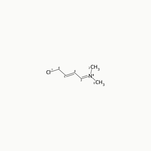 C[N+](C)=CC=CCCl